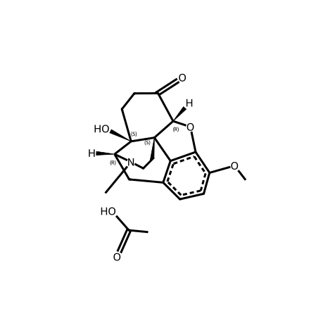 CC(=O)O.COc1ccc2c3c1O[C@H]1C(=O)CC[C@@]4(O)[C@@H](C2)N(C)CC[C@]314